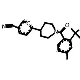 Cc1[c]cc(C(=O)N2CCC(c3ccc(C#N)cc3)CC2)c(C(C)(C)C)c1